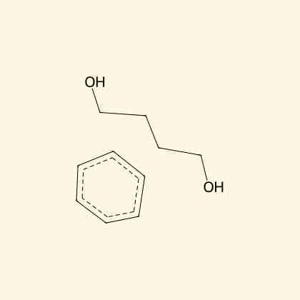 OCCCCO.c1ccccc1